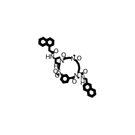 CN1CC(=O)N2C[C@H](NC(=O)Cc3cccc4ccccc34)C[C@H]2CS(=O)(=O)c2cccc(c2)C(=O)N(C)[C@H](C(=O)NCc2ccc3ccccc3c2)CCC1=O